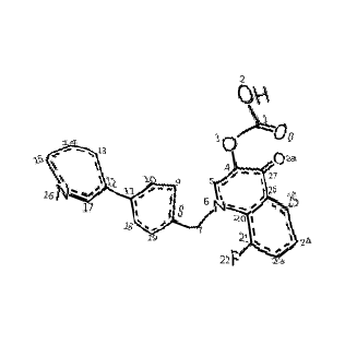 O=C(O)Oc1cn(Cc2ccc(-c3cccnc3)cc2)c2c(F)cccc2c1=O